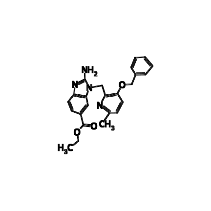 CCOC(=O)c1ccc2nc(N)n(Cc3nc(C)ccc3OCc3ccccc3)c2c1